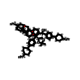 CCCC1CCC(c2ccc(C(O)(c3ccc(C4CCC(CCC)CC4)cc3)[C@@H]3OC(C)(C)O[C@H]3C(O)(c3ccc(C4CCC(CCC)CC4)cc3)c3ccc(C4CCC(CCC)CC4)cc3)cc2)CC1